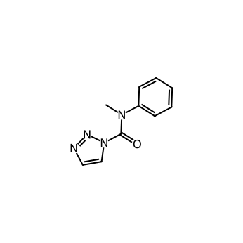 CN(C(=O)n1ccnn1)c1ccccc1